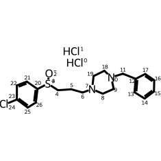 Cl.Cl.[O-][S+](CCCN1CCN(Cc2ccccc2)CC1)c1ccc(Cl)cc1